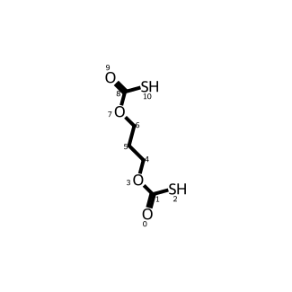 O=C(S)OCCCOC(=O)S